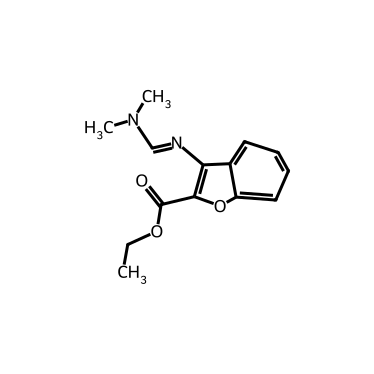 CCOC(=O)c1oc2ccccc2c1N=CN(C)C